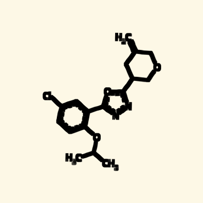 C=C1COCC(c2nnc(-c3cc(Cl)ccc3OC(C)C)o2)C1